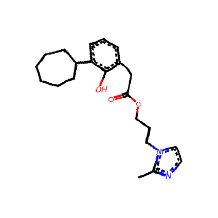 Cc1nccn1CCCOC(=O)Cc1cccc(C2CCCCCC2)c1O